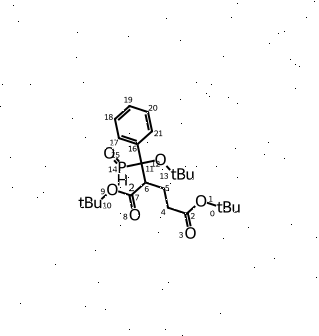 CC(C)(C)OC(=O)CCC(C(=O)OC(C)(C)C)C(OC(C)(C)C)([PH2]=O)c1ccccc1